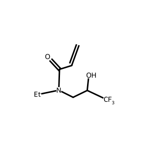 C=CC(=O)N(CC)CC(O)C(F)(F)F